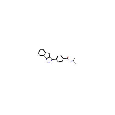 CC(C)NC(=O)c1ccc(-c2n[nH]c3c2Cc2ccccc2-3)cc1